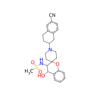 CS(=O)(=O)NC1C(O)c2ccccc2OC12CCN(C1CCc3cc(C#N)ccc3C1)CC2